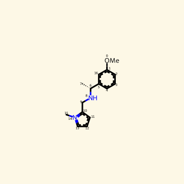 COc1cccc([C@@H](C)NCc2cccn2C)c1